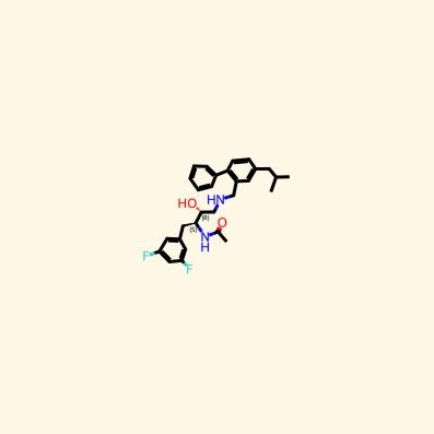 CC(=O)N[C@@H](Cc1cc(F)cc(F)c1)[C@H](O)CNCc1cc(CC(C)C)ccc1-c1ccccc1